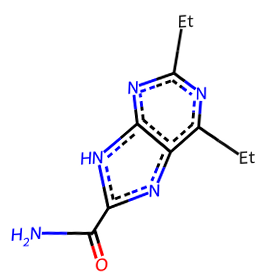 CCc1nc(CC)c2nc(C(N)=O)[nH]c2n1